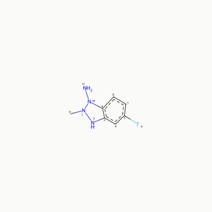 CN1Nc2cc(F)ccc2N1N